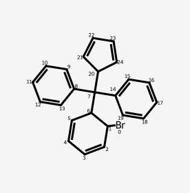 BrC1C=CC=CC1C(c1ccccc1)(c1ccccc1)C1C=CC=C1